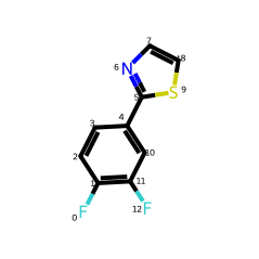 Fc1ccc(-c2nc[c]s2)cc1F